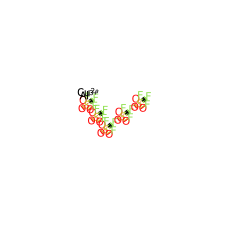 O=S(=O)([O-])C(F)(F)F.O=S(=O)([O-])C(F)(F)F.O=S(=O)([O-])C(F)(F)F.O=S(=O)([O-])C(F)(F)F.O=S(=O)([O-])C(F)(F)F.[Al+3].[Cu+2]